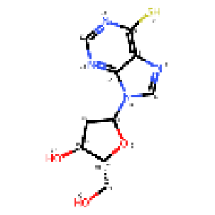 OC[C@H]1OC(n2cnc3c(S)ncnc32)C[C@@H]1O